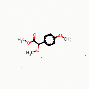 COC(=O)[C@H](OC)c1ccc(OC)cc1